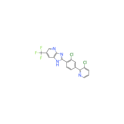 FC(F)(F)c1cnc2nc(-c3ccc(-c4ncccc4Cl)cc3Cl)[nH]c2c1